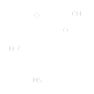 COC(=O)C(C)CS